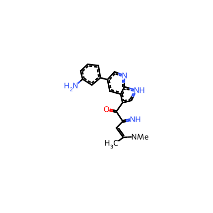 CN/C(C)=C\C(=N)C(=O)c1c[nH]c2ncc(-c3cccc(N)c3)cc12